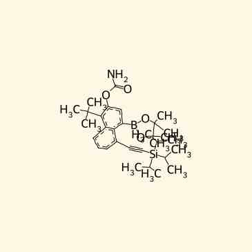 CC(C)[Si](C#Cc1cccc2c(C(C)(C)C)c(OC(N)=O)cc(B3OC(C)(C)C(C)(C)O3)c12)(C(C)C)C(C)C